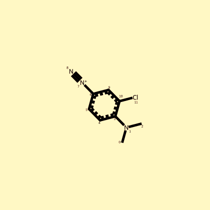 CN(C)c1ccc([N+]#N)cc1Cl